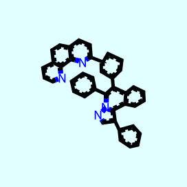 c1ccc(-c2cnn3c(-c4ccccc4)c(-c4cccc(-c5ccc6ccc7cccnc7c6n5)c4)c4ccccc4c23)cc1